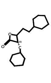 O=C1OC(CCC2CCCCC2)[C@@H]1CC1CCCCC1